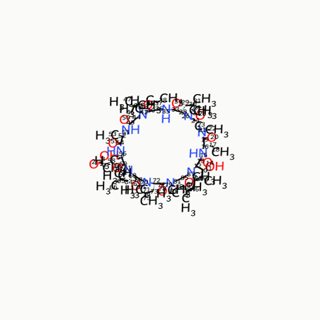 CC(=O)O.CC=CC[C@@H](C)[C@@H](O)[C@H]1C(=O)N[C@@H](CC)C(=O)N(C)CC(=O)N(C)[C@@H](CC(C)C)C(=O)N[C@@H](C(C)C)C(=O)N(C)[C@@H](CC(C)C)C(=O)N[C@@H](C)C(=O)N[C@H](C)C(=O)N(C)[C@@H](CC(C)C)C(=O)N(C)[C@@H](CC(C)C)C(=O)N(C)[C@@H](C(C)C)C(=O)N1C